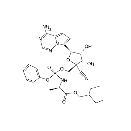 CCC(CC)COC(=O)[C@@H](C)NP(=O)(OC[C@@]1(C#N)O[C@@H](c2ccc3c(N)ncnn23)[C@H](O)[C@@H]1O)Oc1ccccc1